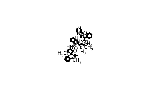 CCCC(NC(=O)[C@@H]1C2CCC[C@H]2CN1C(=O)[C@@H](NC(=O)[C@H](NC(=O)c1cnccn1)C1CCCCC1)C(C)(C)C)C(=O)C(=O)N[C@@H](C)c1ccccc1